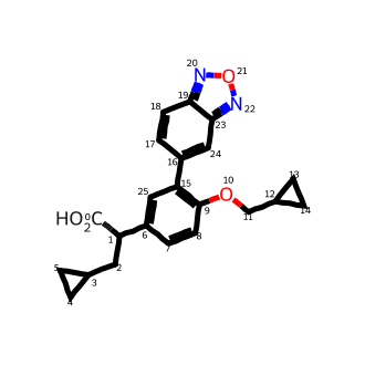 O=C(O)C(CC1CC1)c1ccc(OCC2CC2)c(-c2ccc3nonc3c2)c1